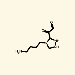 NCCCCN1CNNC1C(=O)C=O